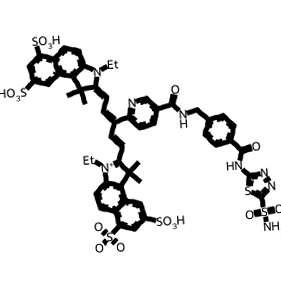 CCN1/C(=C/C=C(/C=C/C2=[N+](CC)c3ccc4c(S(=O)(=O)[O-])cc(S(=O)(=O)O)cc4c3C2(C)C)c2ccc(C(=O)NCc3ccc(C(=O)Nc4nnc(S(N)(=O)=O)s4)cc3)cn2)C(C)(C)c2c1ccc1c(S(=O)(=O)O)cc(S(=O)(=O)O)cc21